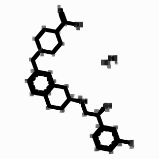 Cl.Cl.O=C(O)C1CCN(Cc2ccc3c(c2)C[C@@H](NC[C@@H](O)c2cccc(Cl)c2)CC3)CC1